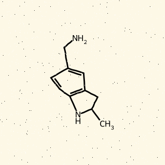 CC1Cc2cc(CN)ccc2N1